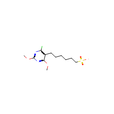 COc1nc(Cl)c(CCCCCCS(=O)(=O)O)c(OC)n1